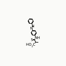 CC(C(=O)O)C(=S)Nc1ccc(N=Nc2ccccc2)cc1